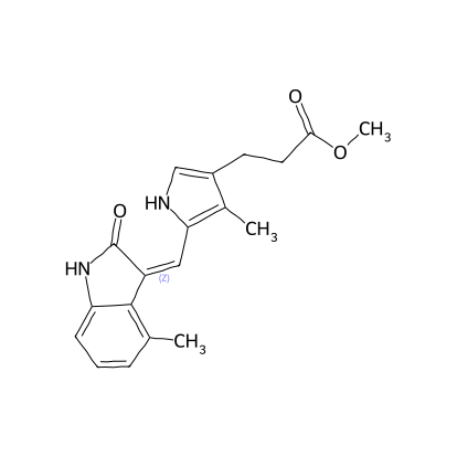 COC(=O)CCc1c[nH]c(/C=C2\C(=O)Nc3cccc(C)c32)c1C